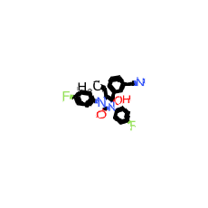 CCC1N(c2ccc(F)cc2)C(=O)N(c2ccc(F)cc2)C1(O)c1cccc(C#N)c1